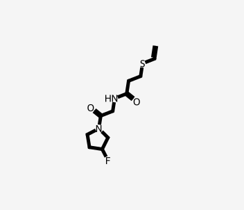 C=CSCCC(=O)NCC(=O)N1CCC(F)C1